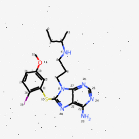 CCC(C)NCCCn1c(Sc2cc(OC)ccc2I)nc2c(N)ncnc21